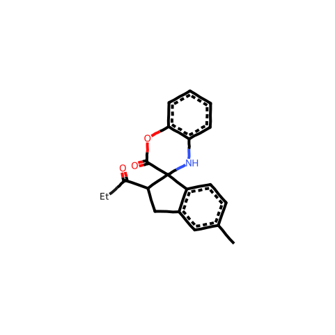 CCC(=O)C1Cc2cc(C)ccc2C12Nc1ccccc1OC2=O